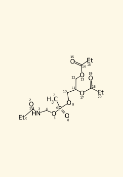 CCC(=O)NCOP(C)(=O)OCC(COC(=O)CC)OC(=O)CC